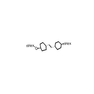 CCCCCCO[C@H]1CC[C@H](CC[C@H]2CC[C@H](CCCCCC)CC2)CC1